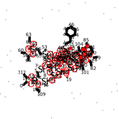 CCO[Si](CC[Si](C)(C)O[Si]12O[SiH](O[SiH2]C)O[Si]3(OC)O[Si]4(O[Si](C)(C)CCC5CC=CCC5)O[Si](O)(O[Si](C)(C)CCC5CC=CCC5)O[Si](O[Si](C)(C)CC[Si](OCC)(OCC)OCC)(O1)O[Si](O[Si](C)(C)CC[Si](OCC)(OCC)OCC)(O4)O[Si](O[Si](C)(C)CC[Si](OCC)(OCC)OCC)(O3)O2)(OCC)OCC